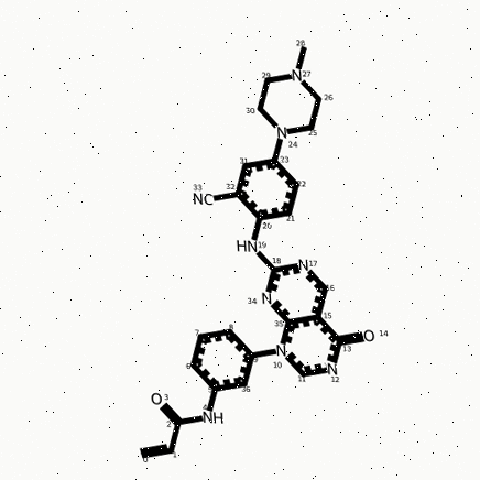 C=CC(=O)Nc1cccc(-n2cnc(=O)c3cnc(Nc4ccc(N5CCN(C)CC5)cc4C#N)nc32)c1